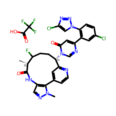 C[C@H]1C(=O)Nc2cnn(C)c2-c2ccnc(c2)[C@@H](n2cnc(-c3cc(Cl)ccc3-n3cc(Cl)nn3)cc2=O)CCC1F.O=C(O)C(F)(F)F